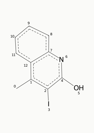 Cc1c(I)c(O)nc2ccccc12